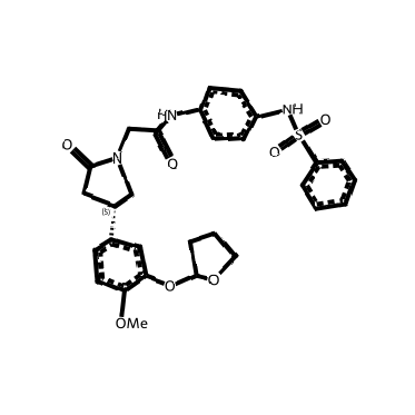 COc1ccc([C@@H]2CC(=O)N(CC(=O)Nc3ccc(NS(=O)(=O)c4ccccc4)cc3)C2)cc1OC1CCCO1